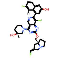 CCc1c(F)ccc2cc(O)cc(-c3ncc4c(N5CCC[C@@](C)(O)C5)nc(OC[C@@]56CCCN5C/C(=C\F)C6)nc4c3F)c12